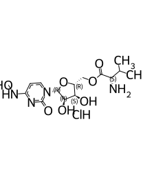 CC(C)[C@H](N)C(=O)OC[C@H]1O[C@@H](n2ccc(NO)nc2=O)[C@H](O)[C@@H]1O.Cl